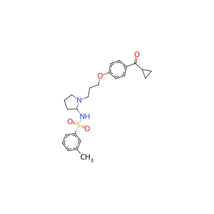 Cc1cccc(S(=O)(=O)NC2CCCN2CCCOc2ccc(C(=O)C3CC3)cc2)c1